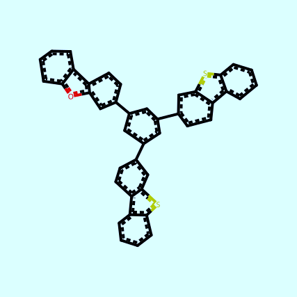 c1ccc2c(c1)oc1cc(-c3cc(-c4ccc5c(c4)sc4ccccc45)cc(-c4ccc5c(c4)sc4ccccc45)c3)ccc12